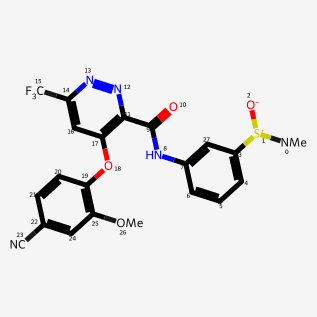 CN[S+]([O-])c1cccc(NC(=O)c2nnc(C(F)(F)F)cc2Oc2ccc(C#N)cc2OC)c1